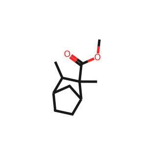 COC(=O)C1(C)C2CCC(C2)C1C